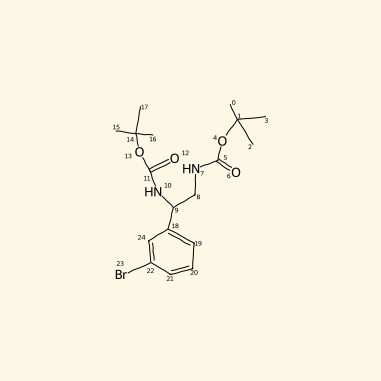 CC(C)(C)OC(=O)NCC(NC(=O)OC(C)(C)C)c1cccc(Br)c1